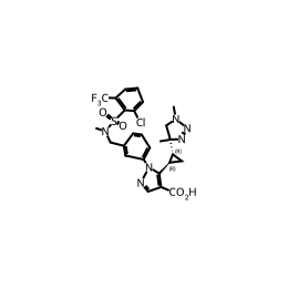 CN1CC(C)([C@@H]2C[C@H]2c2c(C(=O)O)cnn2-c2cccc(CN(C)S(=O)(=O)c3c(Cl)cccc3C(F)(F)F)c2)N=N1